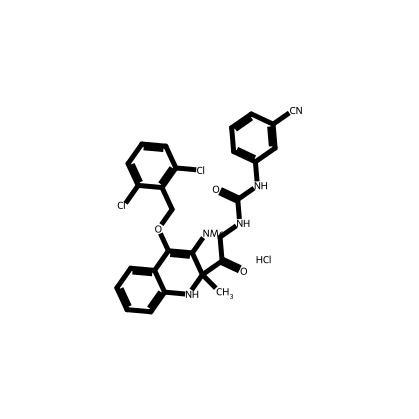 CNC1=C(OCc2c(Cl)cccc2Cl)c2ccccc2NC1(C)C(=O)CNC(=O)Nc1cccc(C#N)c1.Cl